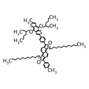 CCCCCCCCCCCCN1C(=O)C(c2ccc(C)cc2)=c2ccc3c4c(ccc3c21)=C(c1ccc(-c2cc3c(OCC(CC)CCCC)c5sc(C)cc5c(OCC(CC)CCCC)c3s2)cc1)C(=O)N4CCCCCCCCCCCC